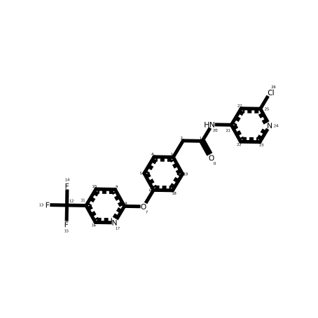 O=C(Cc1ccc(Oc2ccc(C(F)(F)F)cn2)cc1)Nc1ccnc(Cl)c1